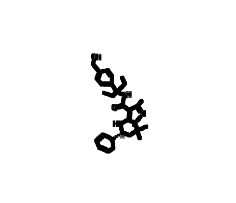 CCC(CC)(NC(=O)c1c(C)nn2c1N[C@@H](C1C=CC=CC1)CC2(C)C)c1ccc(CO)cc1